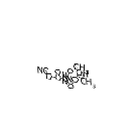 C[C@@H]1C[C@@H]2C[C@H](C)CC(c3ccc(-c4ccccc4-c4nc(-c5ccccc5)nc(-c5ccc(-c6cccc(C#N)c6)c6ccccc56)n4)cc3)(C1)C2